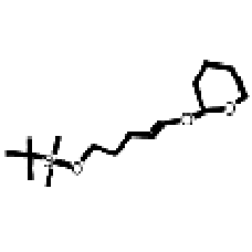 CC(C)(C)[Si](C)(C)OCCCC=COC1CCCCO1